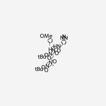 COc1ccc(C[C@@H]2C[C@@H](C(=O)NCc3ccc4c(c3)nnn4C)N(C(=O)C(CCC(=O)N3CCN(C(=O)OC(C)(C)C)C[C@@H]3C)NC(=O)OC(C)(C)C)C2)cc1